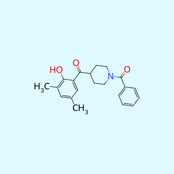 Cc1cc(C)c(O)c(C(=O)C2CCN(C(=O)c3ccccc3)CC2)c1